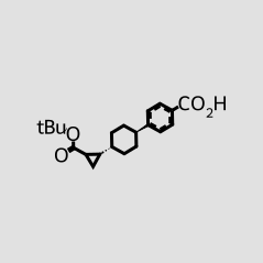 CC(C)(C)OC(=O)C1CC1[C@H]1CC[C@H](c2ccc(C(=O)O)cc2)CC1